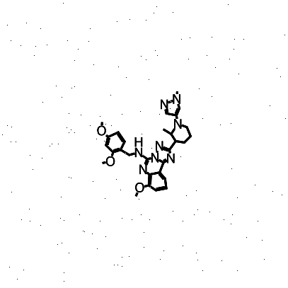 COc1ccc(CNc2nc3c(OC)cccc3c3nc(C4CCCN(c5cnn(C)c5)C4C)nn23)c(OC)c1